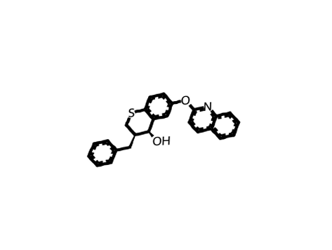 O[C@@H]1c2cc(Oc3ccc4ccccc4n3)ccc2SC[C@@H]1Cc1ccccc1